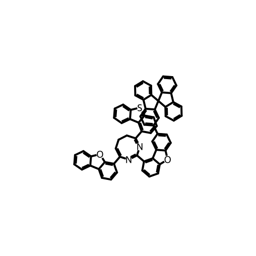 C1=C(c2cccc3c2oc2ccccc23)/N=C(c2cccc3oc4ccc(-c5ccc6c(c5)C5(c7ccccc7-c7ccccc75)c5ccccc5-6)cc4c23)\N=C(\c2cccc3sc4ccccc4c23)CC\1